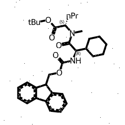 CCC[C@@H](C(=O)OC(C)(C)C)N(C)C(=O)[C@H](NC(=O)OCC1c2ccccc2-c2ccccc21)C1CCCCC1